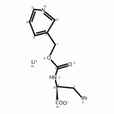 CC(C)C[C@H](NC(=O)OCc1cccnc1)C(=O)[O-].[Li+]